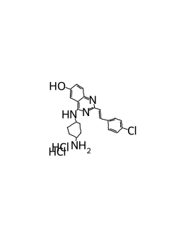 Cl.Cl.NC1CCC(Nc2nc(/C=C/c3ccc(Cl)cc3)nc3ccc(O)cc23)CC1